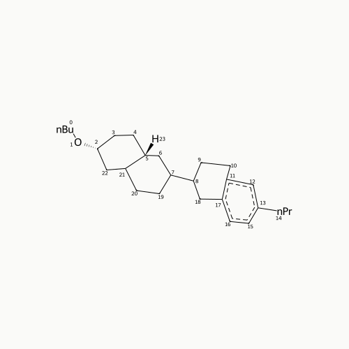 CCCCO[C@@H]1CC[C@@H]2CC(C3CCc4cc(CCC)ccc4C3)CCC2C1